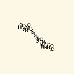 NC1=NC=NC2C1C(c1ccc(Oc3ccccc3)cc1)=NN2C1CCCN(C(=O)N2CCN(C3CN(c4ccc5c(c4)C(=O)N(C4CCC(=O)NC4=O)C5=O)C3)CC2)C1